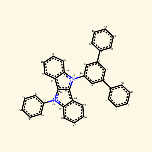 c1ccc(-c2cc(-c3ccccc3)cc(-n3c4ccccc4c4c3c3ccccc3n4-c3ccccc3)c2)cc1